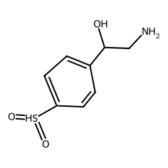 NCC(O)c1ccc([SH](=O)=O)cc1